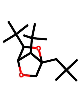 CC(C)(C)CC12COC(C(C(C)(C)C)O1)C2C(C)(C)C